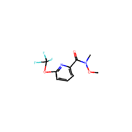 CON(C)C(=O)c1cccc(OC(F)(F)F)n1